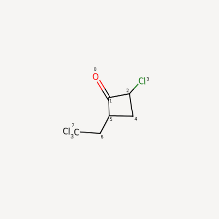 O=C1C(Cl)CC1CC(Cl)(Cl)Cl